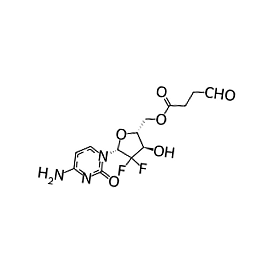 Nc1ccn([C@@H]2O[C@H](COC(=O)CCC=O)[C@@H](O)C2(F)F)c(=O)n1